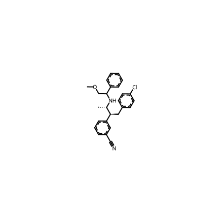 COCC(N[C@@H](C)[C@@H](Cc1ccc(Cl)cc1)c1cccc(C#N)c1)c1ccccc1